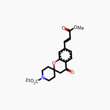 CCOC(=O)N1CCC2(CC1)CC(=O)c1ccc(C=CC(=O)OC)cc1O2